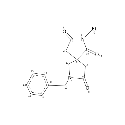 CCN1C(=O)CC2(CC(=O)N(Cc3ccccc3)C2)C1=O